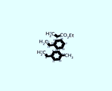 C=CC(=O)OCC.C=Cc1ccc(C)cc1.C=Cc1ccccc1